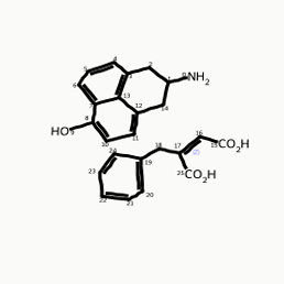 NC1Cc2cccc3c(O)ccc(c23)C1.O=C(O)/C=C(/Cc1ccccc1)C(=O)O